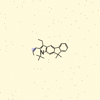 C/C=C\c1c(CC)c2cc3c(cc2n1C(C)(C)C)C(C)(C)c1ccccc1-3